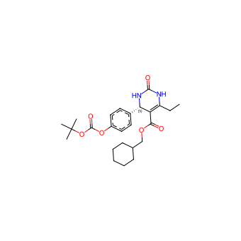 CCC1=C(C(=O)OCC2CCCCC2)[C@H](c2ccc(OC(=O)OC(C)(C)C)cc2)NC(=O)N1